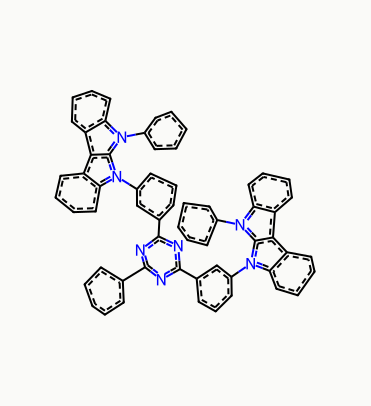 c1ccc(-c2nc(-c3cccc(-n4c5ccccc5c5c6ccccc6n(-c6ccccc6)c54)c3)nc(-c3cccc(-n4c5ccccc5c5c6ccccc6n(-c6ccccc6)c54)c3)n2)cc1